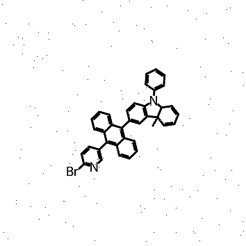 CC12C=CC=CC1N(c1ccccc1)c1ccc(-c3c4ccccc4c(-c4ccc(Br)nc4)c4ccccc34)cc12